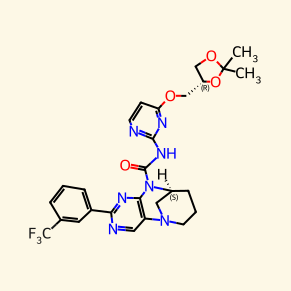 CC1(C)OC[C@@H](COc2ccnc(NC(=O)N3c4nc(-c5cccc(C(F)(F)F)c5)ncc4N4CCC[C@H]3C4)n2)O1